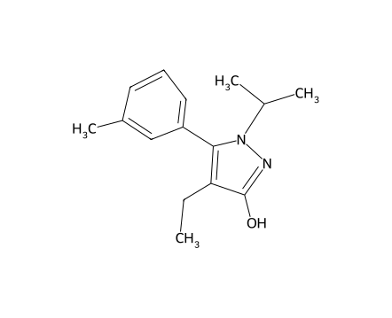 CCc1c(O)nn(C(C)C)c1-c1cccc(C)c1